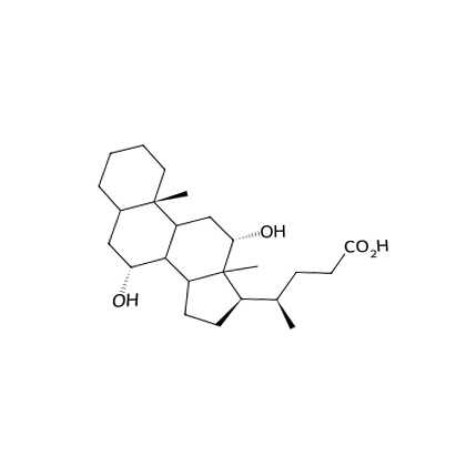 C[C@H](CCC(=O)O)[C@H]1CCC2C3C(C[C@H](O)C21C)[C@@]1(C)CCCCC1C[C@H]3O